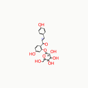 O=C(/C=C/c1ccc(O)cc1)c1ccc(O)cc1O[C@H]1O[C@H](CO)[C@H](O)[C@@H](O)[C@H]1O